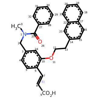 CN(Cc1ccc(/C=C/C(=O)O)c(OCCc2ccc3ccccc3c2)c1)C(=O)c1ccccc1